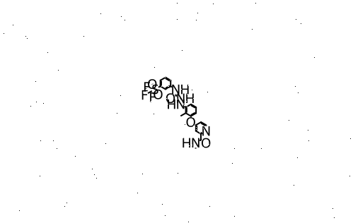 CNC(=O)c1cc(Oc2cccc(NNC(=O)Nc3cccc(S(=O)(=O)C(F)(F)F)c3)c2C)ccn1